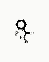 CCNC(=O)c1ccccc1.[KH]